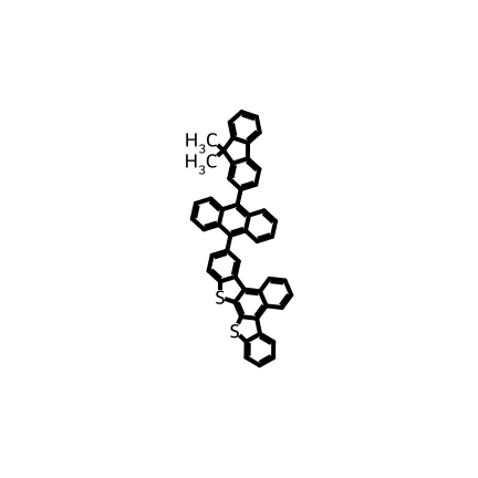 CC1(C)c2ccccc2-c2ccc(-c3c4ccccc4c(-c4ccc5sc6c7sc8ccccc8c7c7ccccc7c6c5c4)c4ccccc34)cc21